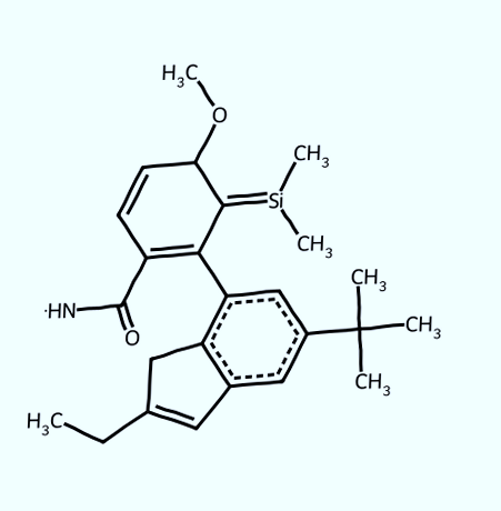 CCC1=Cc2cc(C(C)(C)C)cc(C3=C(C([NH])=O)C=CC(OC)C3=[Si](C)C)c2C1